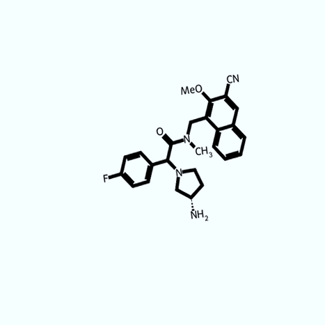 COc1c(C#N)cc2ccccc2c1CN(C)C(=O)C(c1ccc(F)cc1)N1CC[C@H](N)C1